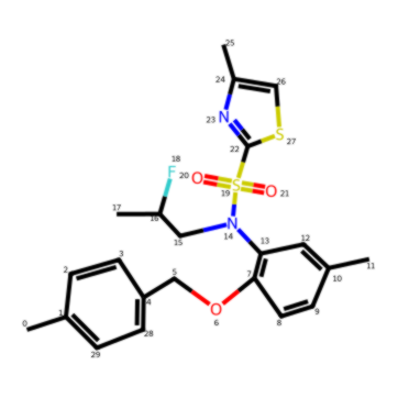 Cc1ccc(COc2ccc(C)cc2N(CC(C)F)S(=O)(=O)c2nc(C)cs2)cc1